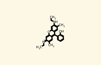 CC/N=c1/cc2oc3cc(NCC)c(C)cc3c(-c3ccccc3O)c-2cc1C